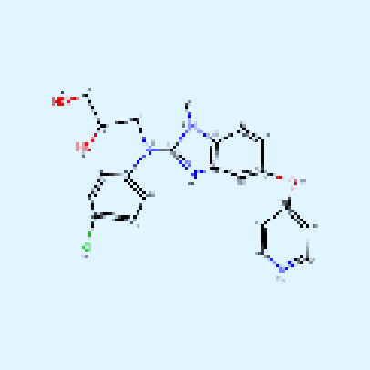 Cn1c(N(CC(O)CO)c2ccc(Cl)cc2)nc2cc(Oc3c[c]ncc3)ccc21